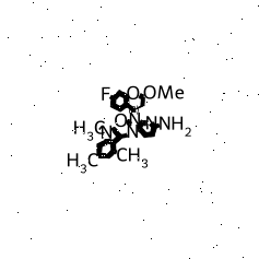 COC(=O)C[C@H](c1ccc(F)cc1)n1c(=O)n(Cc2cn(C)c3cc(C)cc(C)c23)c2ccc(N)nc21